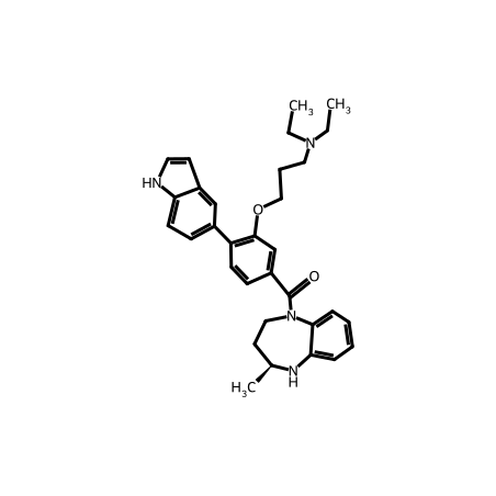 CCN(CC)CCCOc1cc(C(=O)N2CC[C@H](C)Nc3ccccc32)ccc1-c1ccc2[nH]ccc2c1